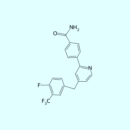 NC(=O)c1ccc(-c2cc(Cc3ccc(F)c(C(F)(F)F)c3)ccn2)cc1